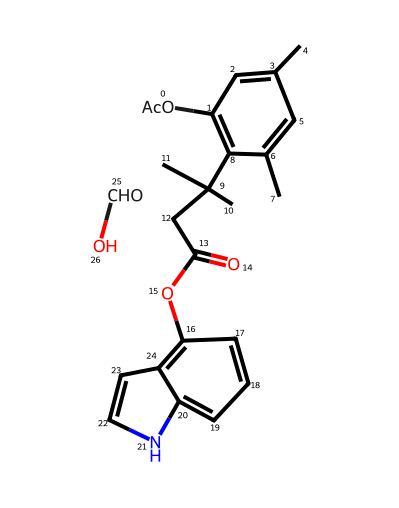 CC(=O)Oc1cc(C)cc(C)c1C(C)(C)CC(=O)Oc1cccc2[nH]ccc12.O=CO